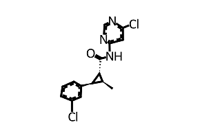 C[C@@H]1[C@@H](C(=O)Nc2cc(Cl)ncn2)[C@@H]1c1cccc(Cl)c1